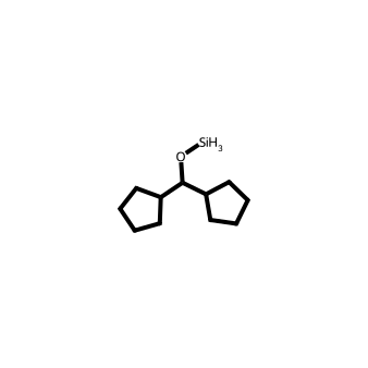 [SiH3]OC(C1CCCC1)C1CCCC1